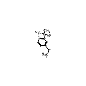 CCC(C)(C)c1cc(COC)ccn1